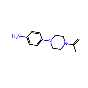 C=C(C)N1CCN(c2ccc(N)cc2)CC1